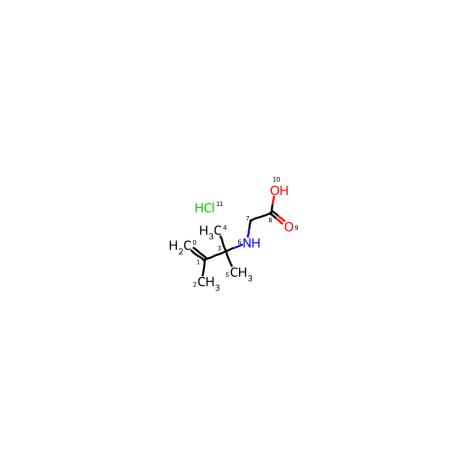 C=C(C)C(C)(C)NCC(=O)O.Cl